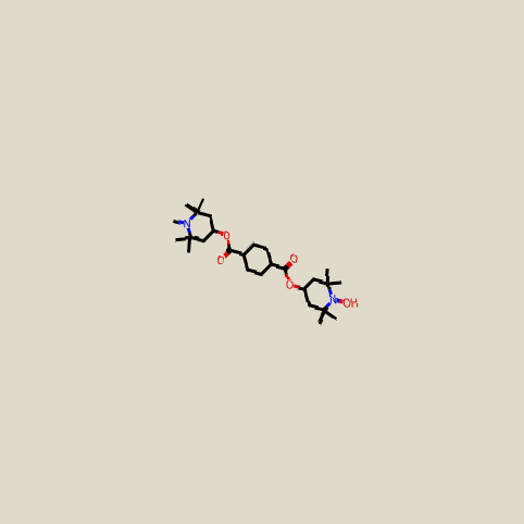 CN1C(C)(C)CC(OC(=O)C2CCC(C(=O)OC3CC(C)(C)N(O)C(C)(C)C3)CC2)CC1(C)C